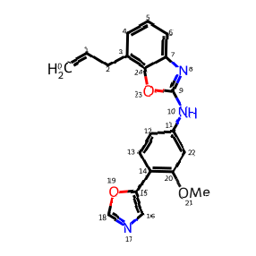 C=CCc1cccc2nc(Nc3ccc(-c4cnco4)c(OC)c3)oc12